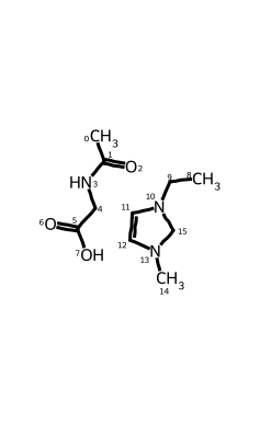 CC(=O)NCC(=O)O.CCN1C=CN(C)C1